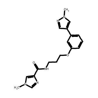 Cn1cnc(C(=O)NCCCOc2c[c]cc(-c3cnn(C)c3)c2)c1